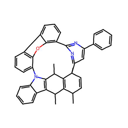 CC1C=CC2(C)C3=C1C(C)c1c(n(c4ccccc14)-c1cccc4c1oc1c(cccc14)-c1nc(-c4ccccc4)cc2n1)C3C